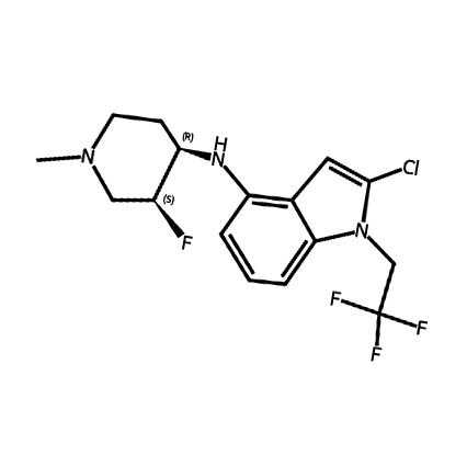 CN1CC[C@@H](Nc2cccc3c2cc(Cl)n3CC(F)(F)F)[C@@H](F)C1